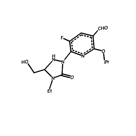 CCN1C(=O)N(c2nc(OC(C)C)c(C=O)cc2F)NC1CO